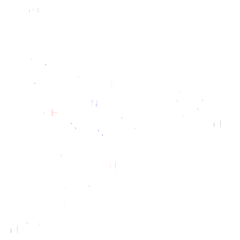 CCCOCOc1ccc(-c2nc(-c3ccc(OCOCCC)cc3O)nc(-c3ccc(OCOCCC)cc3O)n2)c(O)c1